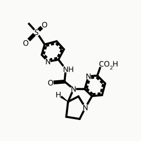 CS(=O)(=O)c1ccc(NC(=O)N2c3nc(C(=O)O)ccc3N3CC[C@H]2C3)nc1